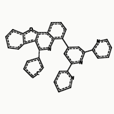 c1ccc(-c2nc3c(-c4cc(-c5ccccn5)nc(-c5ccccn5)c4)cccc3c3oc4ccccc4c23)cc1